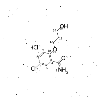 Cl.NC(=O)c1cc(Cl)ccc1OCCCO